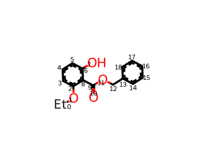 CCOc1cccc(O)c1C(=O)OCc1ccccc1